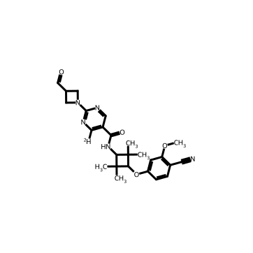 [2H]c1nc(N2CC(C=O)C2)ncc1C(=O)NC1C(C)(C)C(Oc2ccc(C#N)c(OC)c2)C1(C)C